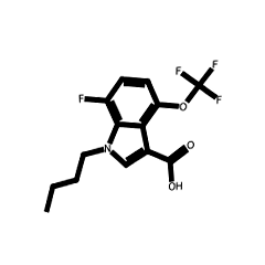 CCCCn1cc(C(=O)O)c2c(OC(F)(F)F)ccc(F)c21